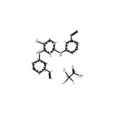 C=Cc1cccc(Nc2ncc(Cl)c(Nc3cccc(C=C)c3)n2)c1.O=C(O)C(F)(F)F